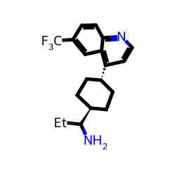 CCC(N)[C@H]1CC[C@H](c2ccnc3ccc(C(F)(F)F)cc32)CC1